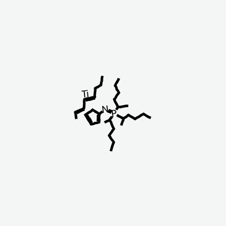 CC=CC=CCCC.CCCCC(C)P(=NC1=CC=CC1)(C(C)CCCC)C(C)CCCC.[Ti]